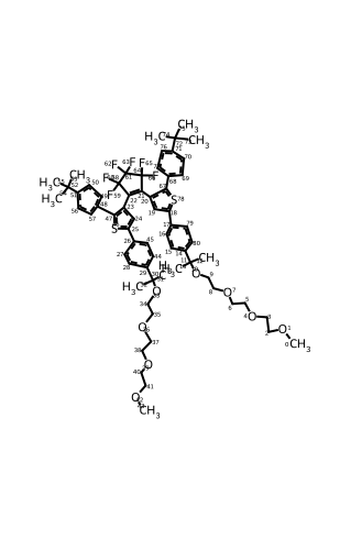 COCCOCCOCCOC(C)(C)c1ccc(-c2cc(C3=C(c4cc(-c5ccc(C(C)(C)OCCOCCOCCOC)cc5)sc4-c4ccc(C(C)(C)C)cc4)C(F)(F)C(F)(F)C3(F)F)c(-c3ccc(C(C)(C)C)cc3)s2)cc1